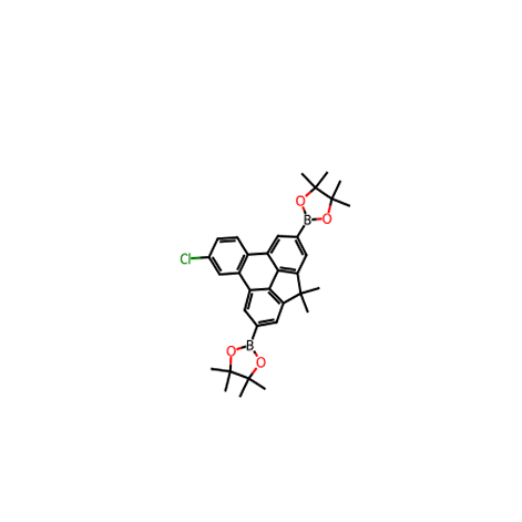 CC1(C)c2cc(B3OC(C)(C)C(C)(C)O3)cc3c4ccc(Cl)cc4c4cc(B5OC(C)(C)C(C)(C)O5)cc1c4c23